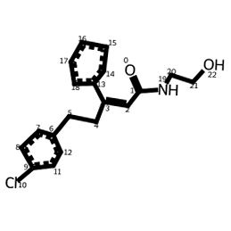 O=C(/C=C(/CCc1ccc(Cl)cc1)c1ccccc1)NCCO